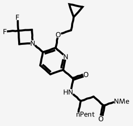 CCCCCC(CC(=O)NC)NC(=O)c1ccc(N2CC(F)(F)C2)c(OCC2CC2)n1